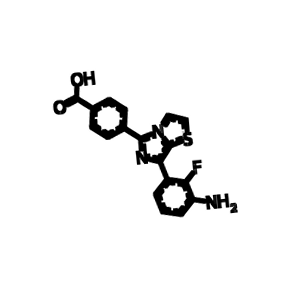 Nc1cccc(-c2nc(-c3ccc(C(=O)O)cc3)n3ccsc23)c1F